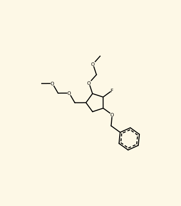 COCOCC1CC(OCc2ccccc2)C(F)C1OCOC